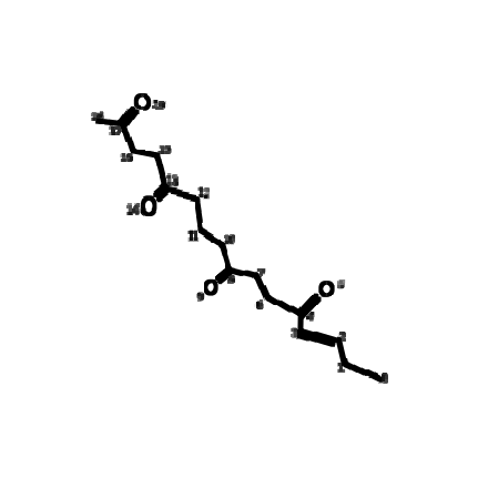 CCC=CC(=O)CCC(=O)CCCC(=O)CCC(C)=O